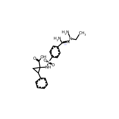 CCN(N)/N=C(\N)c1ccc(S(=O)(=O)NC2(C(=O)O)CC2c2ccccc2)cc1